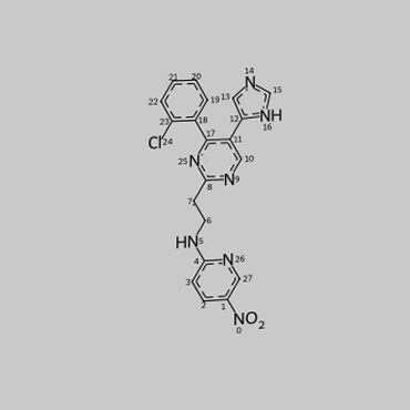 O=[N+]([O-])c1ccc(NC[CH]c2ncc(-c3cnc[nH]3)c(-c3ccccc3Cl)n2)nc1